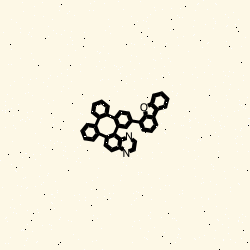 c1ccc2c(c1)-c1ccccc1-c1ccc3nccnc3c1-c1cc(-c3cccc4c3oc3ccccc34)ccc1-2